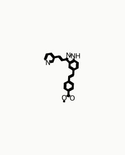 COC(=O)c1ccc(C=Cc2ccc3[nH]nc(C=Cc4cccnc4)c3c2)cc1